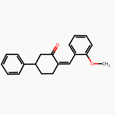 COc1ccccc1/C=C1/CCC(c2ccccc2)CC1=O